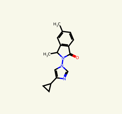 Cc1ccc2c(c1)C(C)N(n1cnc(C3CC3)c1)C2=O